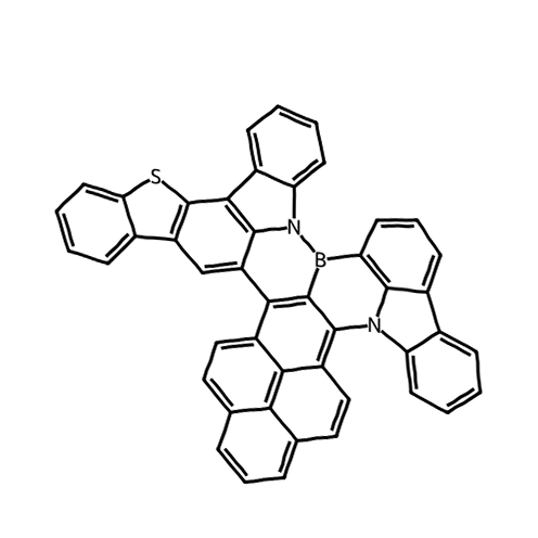 c1cc2ccc3c4c5c(c6ccc(c1)c2c36)-n1c2ccccc2c2cccc(c21)B5n1c2ccccc2c2c3sc5ccccc5c3cc-4c21